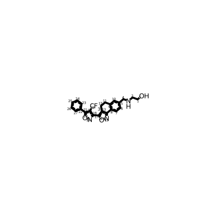 OCCNCc1ccc2c(c1)CCc1c-2noc1-c1noc(-c2ccccc2)c1C(F)(F)F